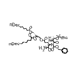 CCCCCCCCCCCCCCCC(=O)OC[C@H](COC(=O)CC[C@H](C(N)=O)N(C(=O)OCc1ccccc1)C(=O)[C@@H](N)[C@H](C)O[Si](C)(C)C(C)(C)C)OC(=O)CCCCCCCCCCCCCCC